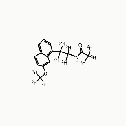 [2H]C([2H])([2H])Oc1ccc2cccc(C([2H])([2H])C([2H])([2H])NC(=O)C([2H])([2H])[2H])c2c1